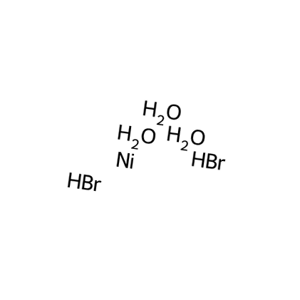 Br.Br.O.O.O.[Ni]